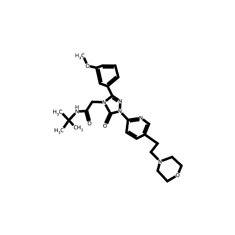 COc1cccc(-c2nn(-c3ccc(CCN4CCOCC4)cn3)c(=O)n2CC(=O)NC(C)(C)C)c1